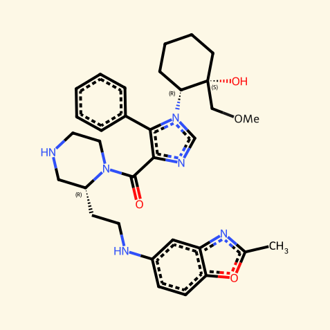 COC[C@]1(O)CCCC[C@H]1n1cnc(C(=O)N2CCNC[C@H]2CCNc2ccc3oc(C)nc3c2)c1-c1ccccc1